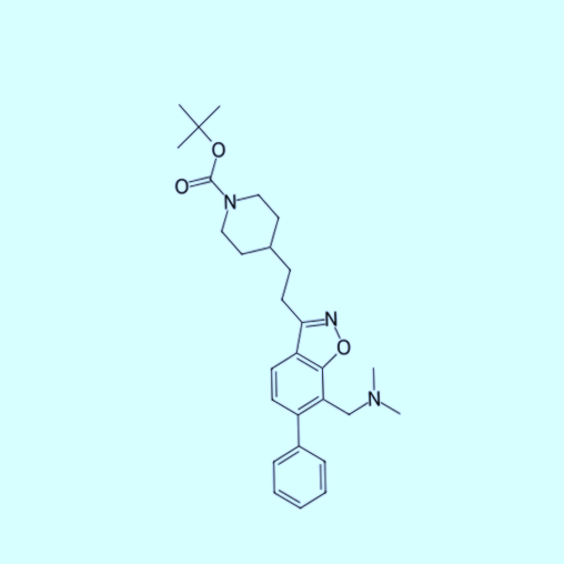 CN(C)Cc1c(-c2ccccc2)ccc2c(CCC3CCN(C(=O)OC(C)(C)C)CC3)noc12